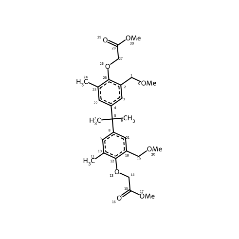 COCc1cc(C(C)(C)c2cc(C)c(OCC(=O)OC)c(COC)c2)cc(C)c1OCC(=O)OC